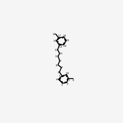 Cc1cccc(CCCCCCCc2cccc(C)c2)c1